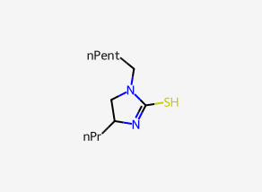 CCCCCCN1CC(CCC)N=C1S